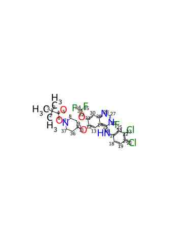 CC(C)(C)C(=O)ON1CCC(Oc2cc3c(Nc4ccc(Cl)c(Cl)c4F)ncnc3cc2OC(F)F)CC1